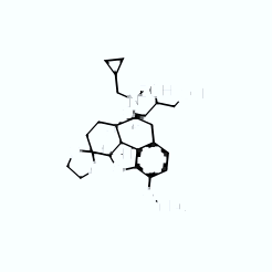 CCCCOc1ccc2c3c1O[C@@H]1C3[C@@](OCC(O)CO)(CCC13OCCO3)[C@H](N(CC)CC1CC1)C2